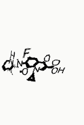 COc1c(N(C)C[C@H]2NCCC[C@H]2C)c(F)cc2c(=O)c(C(=O)O)cn(C3CC3)c12